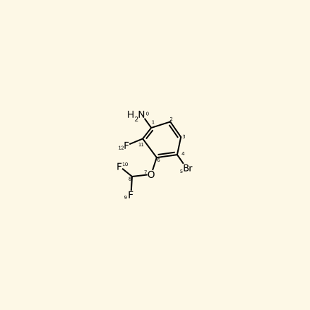 Nc1ccc(Br)c(OC(F)F)c1F